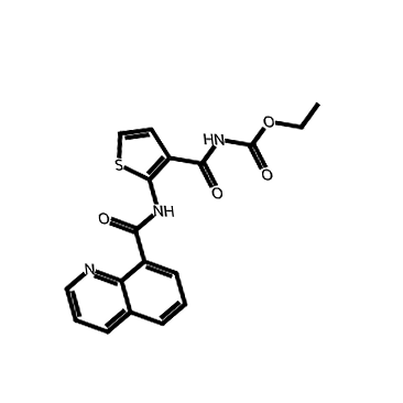 CCOC(=O)NC(=O)c1ccsc1NC(=O)c1cccc2cccnc12